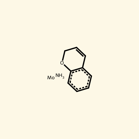 C1=Cc2ccccc2OC1.N.[Mo]